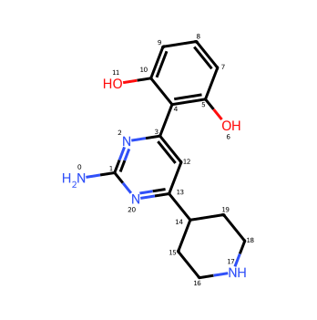 Nc1nc(-c2c(O)cccc2O)cc(C2CCNCC2)n1